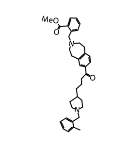 COC(=O)c1ccccc1CN1CCc2ccc(C(=O)CCCC3CCN(Cc4ccccc4C)CC3)cc2CC1